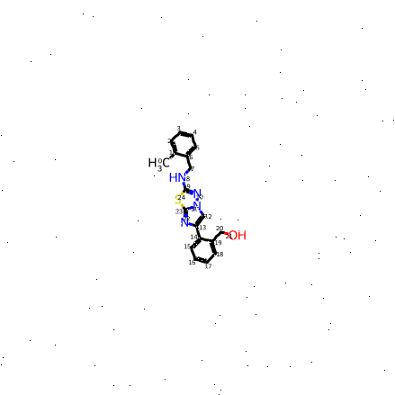 Cc1ccccc1CNc1nn2cc(-c3ccccc3CO)nc2s1